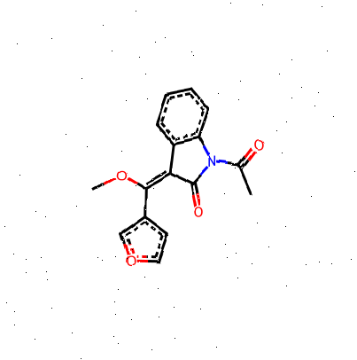 CO/C(=C1/C(=O)N(C(C)=O)c2ccccc21)c1ccoc1